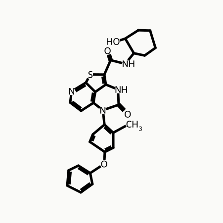 Cc1cc(Oc2ccccc2)ccc1N1C(=O)Nc2c(C(=O)NC3CCCCC3O)sc3nccc1c23